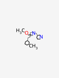 CCOC[C@@]1(CCc2cccc(C)c2)CCN(Cc2cccnc2)C1